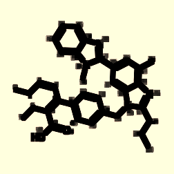 CC/C=C\C(=C(/CC)C(=O)O)c1ccc(Cn2c(CCC)nc3c(C)cc(-c4nc5ccccc5n4C)cc32)cc1